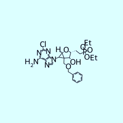 CCOP(=O)(CC[C@H]1O[C@H]2C(n3cnc4c(N)nc(Cl)nc43)C2(COCc2ccccc2)C1O)OCC